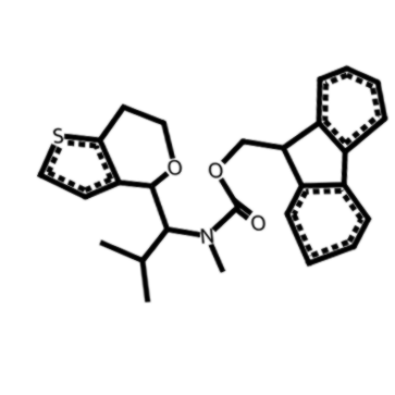 CC(C)C(C1OCCc2sccc21)N(C)C(=O)OCC1c2ccccc2-c2ccccc21